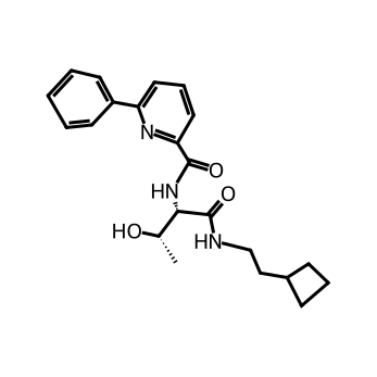 C[C@H](O)[C@H](NC(=O)c1cccc(-c2ccccc2)n1)C(=O)NCCC1CCC1